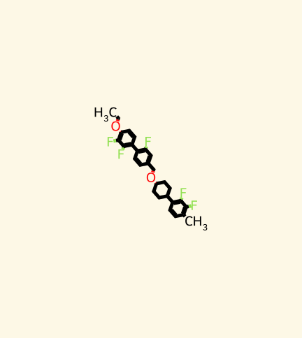 CCOc1ccc(-c2ccc(COC3CCC(c4ccc(C)c(F)c4F)CC3)cc2F)c(F)c1F